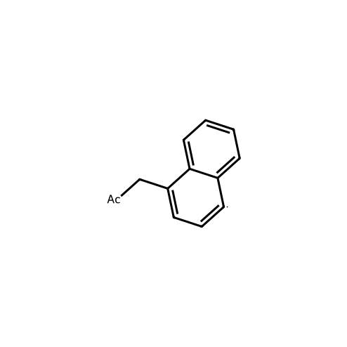 CC(=O)Cc1cc[c]c2ccccc12